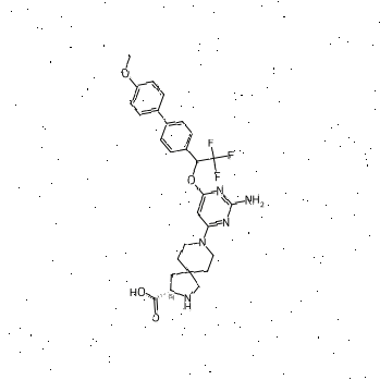 COc1ccc(-c2ccc(C(Oc3cc(N4CCC5(CC4)CN[C@H](C(=O)O)C5)nc(N)n3)C(F)(F)F)cc2)cc1